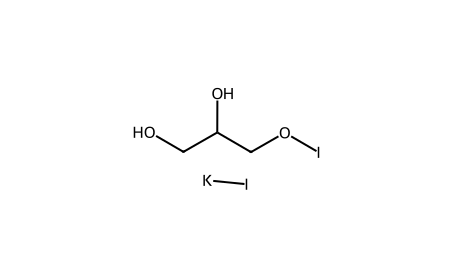 OCC(O)COI.[K][I]